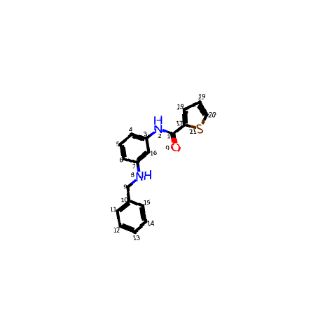 O=C(Nc1cccc(NCc2ccccc2)c1)c1cccs1